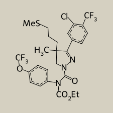 CCOC(=O)N(C(=O)N1CC(C)(CCCSC)C(c2ccc(C(F)(F)F)c(Cl)c2)=N1)c1ccc(OC(F)(F)F)cc1